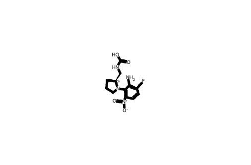 Nc1c(F)ccc([N+](=O)[O-])c1N1CCC[C@H]1CNC(=O)O